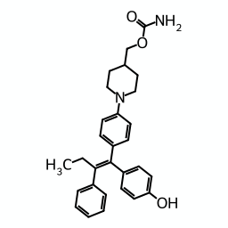 CCC(=C(c1ccc(O)cc1)c1ccc(N2CCC(COC(N)=O)CC2)cc1)c1ccccc1